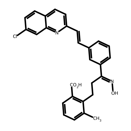 Cc1cccc(C(=O)O)c1CCC(=NO)c1cccc(C=Cc2ccc3ccc(Cl)cc3n2)c1